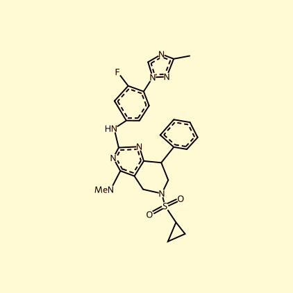 CNc1nc(Nc2ccc(-n3cnc(C)n3)c(F)c2)nc2c1CN(S(=O)(=O)C1CC1)CC2c1ccccc1